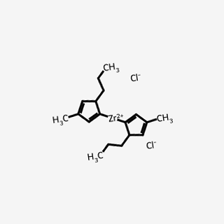 CCCC1C=C(C)C=[C]1[Zr+2][C]1=CC(C)=CC1CCC.[Cl-].[Cl-]